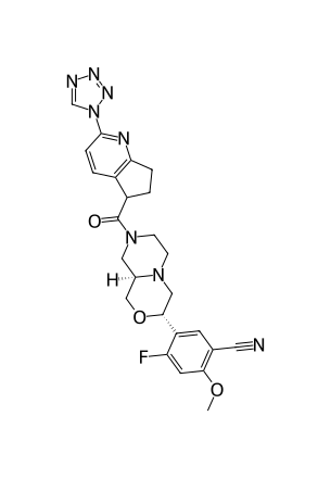 COc1cc(F)c([C@H]2CN3CCN(C(=O)C4CCc5nc(-n6cnnn6)ccc54)C[C@@H]3CO2)cc1C#N